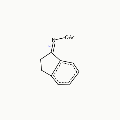 CC(=O)O/N=C1/CCc2ccccc21